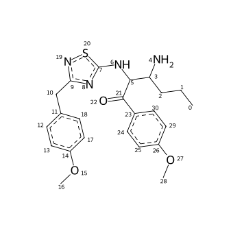 CCCC(N)C(Nc1nc(Cc2ccc(OC)cc2)ns1)C(=O)c1ccc(OC)cc1